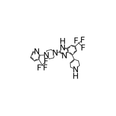 FC(F)(F)c1cc(C2=CCNCC2)c2nc(N3CCN(c4ncccc4C(F)(F)F)CC3)[nH]c2c1